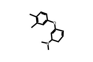 Cc1ccc(OC2=CC(N(C)C)CC=C2)cc1C